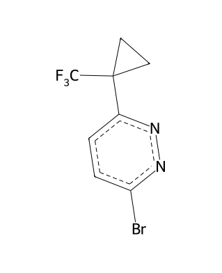 FC(F)(F)C1(c2ccc(Br)nn2)CC1